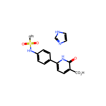 CCCS(=O)(=O)Nc1ccc(-c2ccc(C(=O)O)c(=O)[nH]2)cc1.c1c[nH]cn1